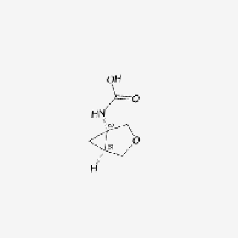 O=C(O)N[C@]12COC[C@H]1C2